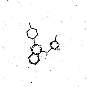 Cc1cc(Nc2nc(N3CCN(C)CC3)nc3ccccc23)[nH]n1